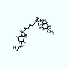 COc1ccc2nc(SCCCCS(=O)(=O)Nc3ccc(C)cc3)sc2c1